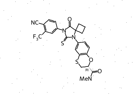 CNC(=O)[C@@H]1CSc2cc(N3C(=S)N(c4ccc(C#N)c(C(F)(F)F)c4)C(=O)C34CCC4)ccc2O1